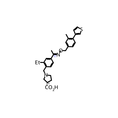 CCc1cc(/C(C)=N/OCc2ccc(-c3ccsc3)c(C)c2)ccc1CN1CC[C@H](C(=O)O)C1